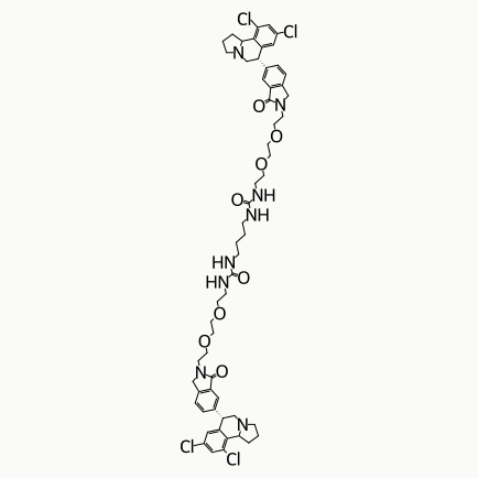 O=C(NCCCCNC(=O)NCCOCCOCCN1Cc2ccc([C@@H]3CN4CCCC4c4c(Cl)cc(Cl)cc43)cc2C1=O)NCCOCCOCCN1Cc2ccc([C@@H]3CN4CCCC4c4c(Cl)cc(Cl)cc43)cc2C1=O